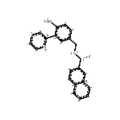 COc1ccc(CN[C@H](C)c2ccc3ccccc3c2)cc1-c1cnccn1